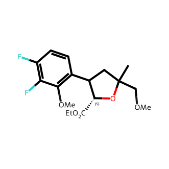 CCOC(=O)[C@H]1OC(C)(COC)CC1c1ccc(F)c(F)c1OC